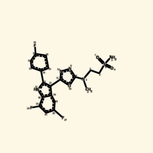 CN(CCS(N)(=O)=O)c1nnc(-c2c(-c3ccc(F)cc3)[nH]c3c(F)cc(F)cc23)o1